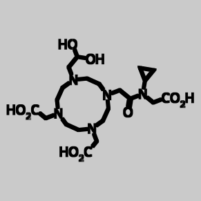 O=C(O)CN1CCN(CC(=O)O)CCN(CC(O)O)CCN(CC(=O)N(CC(=O)O)C2CC2)CC1